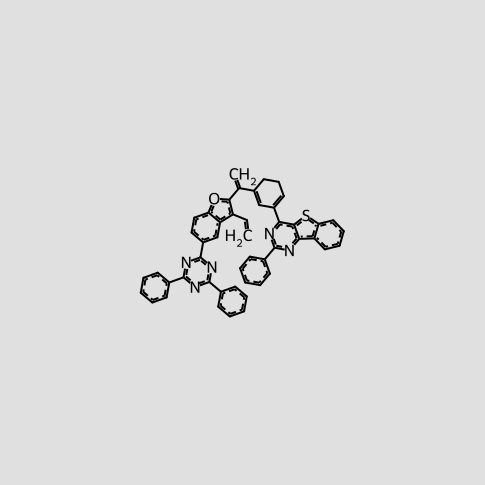 C=Cc1c(C(=C)C2=CC(c3nc(-c4ccccc4)nc4c3sc3ccccc34)=CCC2)oc2ccc(-c3nc(-c4ccccc4)nc(-c4ccccc4)n3)cc12